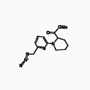 COC(=O)C1CCCCN1c1cccc(CN=[N+]=[N-])n1